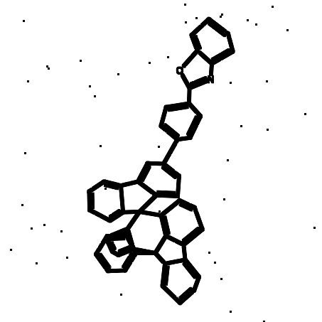 c1ccc(C23c4ccccc4-c4cccc(c42)C2(c4ccccc4-c4cc(-c5ccc(-c6nc7ccccc7o6)cc5)ccc42)c2ccccc23)cc1